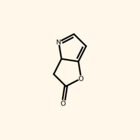 O=C1CC2N=CC=C2O1